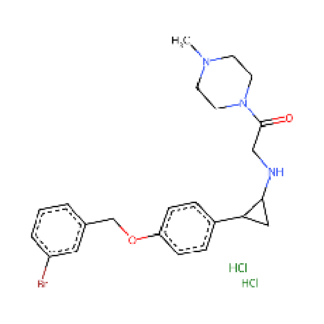 CN1CCN(C(=O)CNC2CC2c2ccc(OCc3cccc(Br)c3)cc2)CC1.Cl.Cl